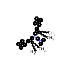 CCCCCCCCC1(CCCCCCCC)c2cc(-c3ccc4c(c3)C3(c5ccccc5-c5ccccc53)c3ccccc3-4)ccc2-c2ccc(N(c3ccc(-n4c5ccccc5c5ccccc54)cc3)c3ccc4c(c3)C(CCCCCCCC)(CCCCCCCC)c3cc(-c5ccc6c(c5)C5(c7ccccc7-c7ccccc75)c5ccccc5-6)ccc3-4)cc21